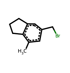 Cc1cc(CBr)cc2c1CCC2